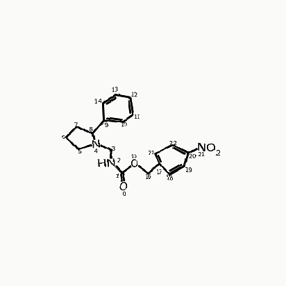 O=C(NCN1CCCC1c1ccccc1)OCc1ccc([N+](=O)[O-])cc1